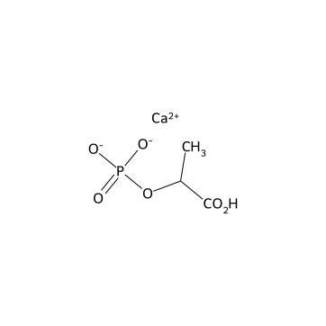 CC(OP(=O)([O-])[O-])C(=O)O.[Ca+2]